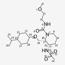 COCCNC(=O)N1CCC[C@H](NS(C)(=O)=O)[C@@H]1COC1CCC(C(C)C)CC1